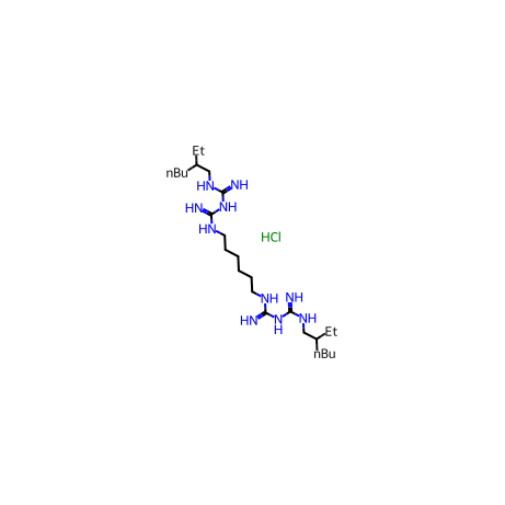 CCCCC(CC)CNC(=N)NC(=N)NCCCCCCNC(=N)NC(=N)NCC(CC)CCCC.Cl